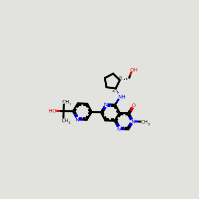 Cn1cnc2cc(-c3ccc(C(C)(C)O)nc3)nc(N[C@@H]3CCC[C@@H]3CO)c2c1=O